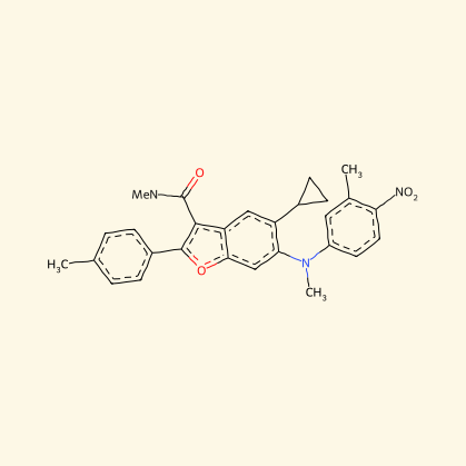 CNC(=O)c1c(-c2ccc(C)cc2)oc2cc(N(C)c3ccc([N+](=O)[O-])c(C)c3)c(C3CC3)cc12